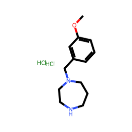 COc1cccc(CN2CCCNCC2)c1.Cl.Cl